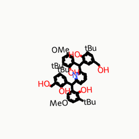 COc1cc(C(c2cccc(C(c3cc(CO)cc(C(C)(C)C)c3O)c3cc(OC)cc(C(C)(C)C)c3O)n2)c2cc(C(C)(C)C)cc(CO)c2O)c(O)c(C(C)(C)C)c1